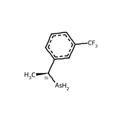 C[C@H]([AsH2])c1cccc(C(F)(F)F)c1